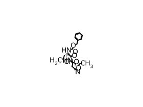 CC(=O)OC(CC#N)NC(=O)[C@H](CC(C)C)NC(=O)OCc1ccccc1